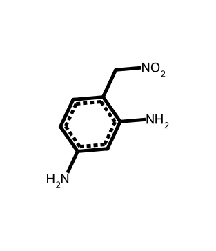 Nc1ccc(C[N+](=O)[O-])c(N)c1